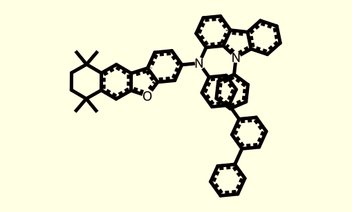 CC1(C)CCC(C)(C)c2cc3c(cc21)oc1cc(N(c2ccc(-c4cccc(-c5ccccc5)c4)cc2)c2cccc4c5ccccc5n(-c5ccccc5)c24)ccc13